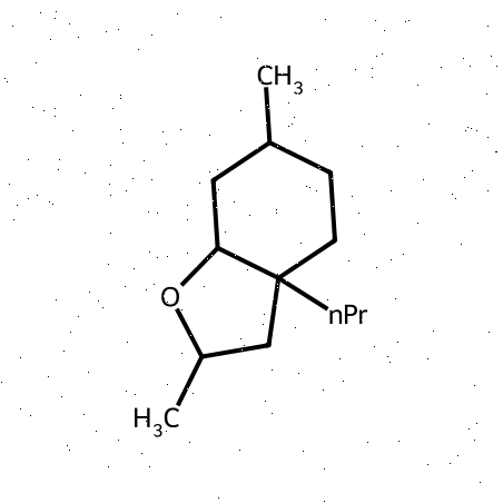 CCCC12CCC(C)CC1OC(C)C2